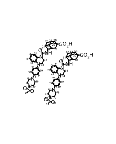 CS(=O)(=O)N1CCN(c2ccc(N3CCN(C(=O)NC4C5CC6CC4CC(C(=O)O)(C6)C5)c4ccccc43)cc2)CC1.CS(=O)(=O)N1CCN(c2ccc(N3CCN(C(=O)NC4C5CC6CC4CC(C(=O)O)(C6)C5)c4ccccc43)cc2)CC1